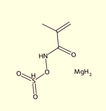 C=C(C)C(=O)NO[SH](=O)=O.[MgH2]